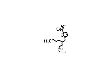 CCCCC(CCC)Cc1ccc([N+](=O)[O-])o1